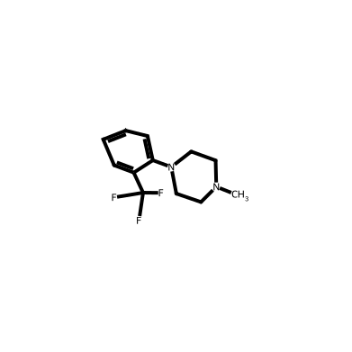 CN1CCN(c2c[c]ccc2C(F)(F)F)CC1